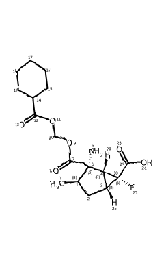 C[C@@H]1C[C@@H]2[C@H]([C@]1(N)C(=O)OCOC(=O)C1CCCCC1)[C@@]2(F)C(=O)O